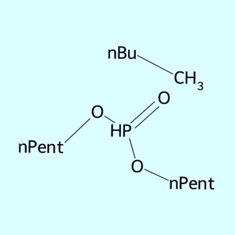 CCCCC.CCCCCO[PH](=O)OCCCCC